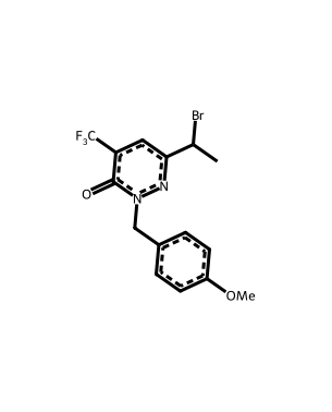 COc1ccc(Cn2nc(C(C)Br)cc(C(F)(F)F)c2=O)cc1